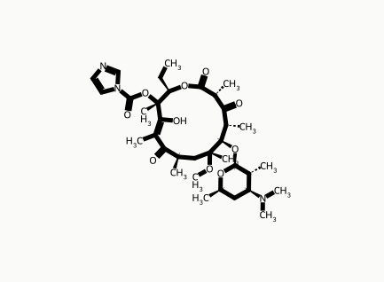 CC[C@H]1OC(=O)[C@H](C)C(=O)[C@H](C)[C@@H](O[C@@H]2O[C@H](C)C[C@H](N(C)C)[C@H]2C)[C@](C)(OC)C[C@@H](C)C(=O)/C(C)=C(\O)[C@]1(C)OC(=O)n1ccnc1